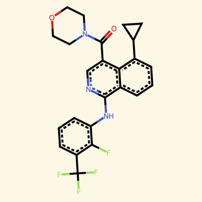 O=C(c1cnc(Nc2cccc(C(F)(F)F)c2F)c2cccc(C3CC3)c12)N1CCOCC1